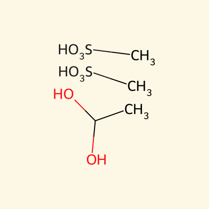 CC(O)O.CS(=O)(=O)O.CS(=O)(=O)O